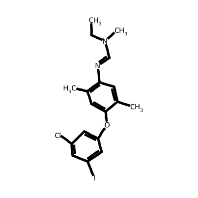 CCN(C)/C=N/c1cc(C)c(Oc2cc(Cl)cc(I)c2)cc1C